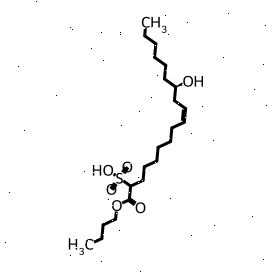 CCCCCC[C@@H](O)C/C=C\CCCCCCC(C(=O)OCCCC)S(=O)(=O)O